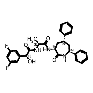 C[C@H](NC(=O)[C@@H](O)c1cc(F)cc(F)c1)C(=O)N[C@H]1C[C@H](c2ccccc2)C[C@@H](c2ccccc2)NC1=O